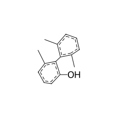 Cc1cccc(C)c1-c1c(C)cccc1O